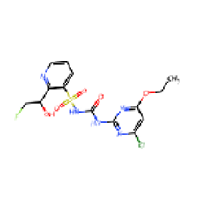 CCOc1cc(Cl)nc(NC(=O)NS(=O)(=O)c2cccnc2C(O)CF)n1